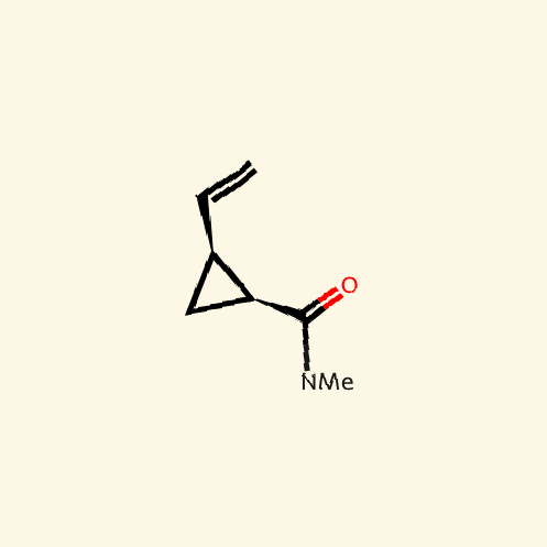 C=C[C@@H]1C[C@@H]1C(=O)NC